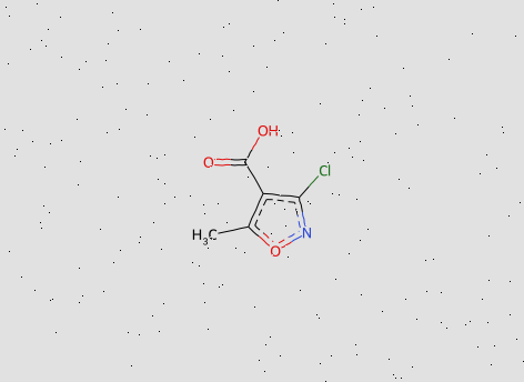 Cc1onc(Cl)c1C(=O)O